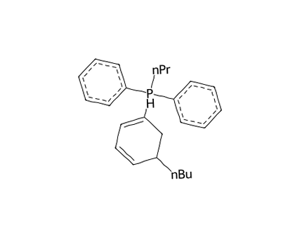 CCCCC1C=CC=C([PH](CCC)(c2ccccc2)c2ccccc2)C1